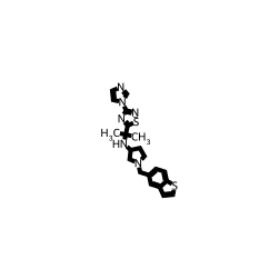 CC(C)(NC1CCN(Cc2ccc3sccc3c2)C1)c1nc(-n2ccnc2)ns1